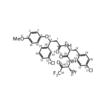 COc1ccc(O[C@@H](CC(=O)N[C@@H](Cc2ccc(Cl)cc2)C(=O)N[C@H](C(=O)C(F)(F)F)C(C)C)c2cccc(Cl)c2)cc1